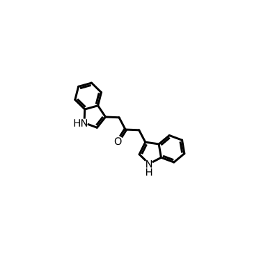 O=C(Cc1c[nH]c2ccccc12)Cc1c[nH]c2ccccc12